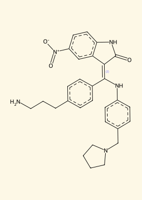 NCCCc1ccc(/C(Nc2ccc(CN3CCCC3)cc2)=C2/C(=O)Nc3ccc([N+](=O)[O-])cc32)cc1